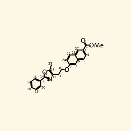 COC(=O)c1ccc2cc(OCCc3nc(-c4ccccc4)oc3C)ccc2c1